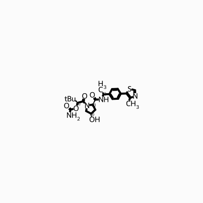 Cc1ncsc1-c1ccc([C@H](C)NC(=O)[C@H]2C[C@H](O)CN2C(=O)[C@@H](OC(N)=O)C(C)(C)C)cc1